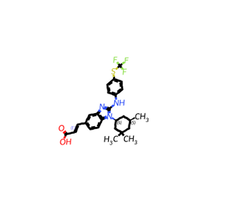 C[C@@H]1C[C@H](n2c(Nc3ccc(SC(F)(F)F)cc3)nc3cc(/C=C/C(=O)O)ccc32)CC(C)(C)C1